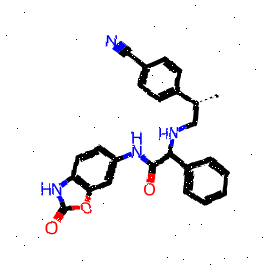 C[C@H](CNC(C(=O)Nc1ccc2[nH]c(=O)oc2c1)c1ccccc1)c1ccc(C#N)cc1